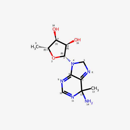 C[C@H]1O[C@@H](N2CN=C3C2=NC=NC3(C)N)[C@H](O)[C@@H]1O